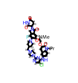 CNC(=O)COc1cc2cc(Nc3nc(N4CCN(CC5CCN(c6ccc7c(c6F)CN(C6CCC(=O)NC6=O)C7=O)CC5)CC4)ncc3Cl)ccc2n(C(C)C)c1=O